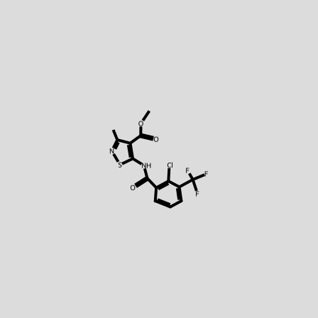 COC(=O)c1c(C)nsc1NC(=O)c1cccc(C(F)(F)F)c1Cl